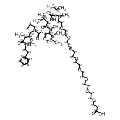 CC[C@H](C)[C@@H]([C@@H](CC(=O)N1CCC[C@H]1[C@H](OC)[C@@H](C)C(=O)NCCc1ccccn1)OC)N(C)C(=O)[C@@H](NC(=O)[C@H](C(C)C)N(C)CCOCCOCCOCCOCCOCCOCCOCCOCCC(=O)O)C(C)C